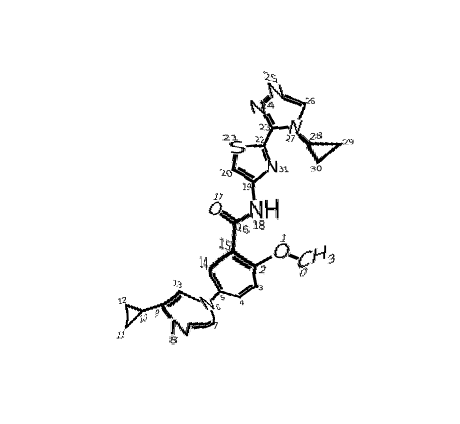 COc1ccc(-n2cnc(C3CC3)c2)cc1C(=O)Nc1csc(-c2nncn2C2CC2)n1